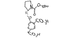 CC(C)(C)OC(=O)N1CCC[C@H]1COc1ccc(C(=O)O)cc1C(=O)O